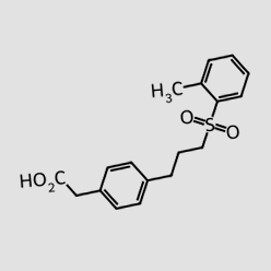 Cc1ccccc1S(=O)(=O)CCCc1ccc(CC(=O)O)cc1